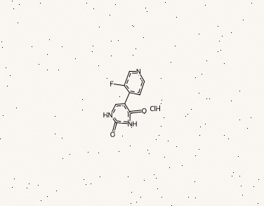 Cl.O=c1[nH]cc(-c2ccncc2F)c(=O)[nH]1